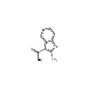 NC(=O)c1c(N)[nH]c2ccccc12